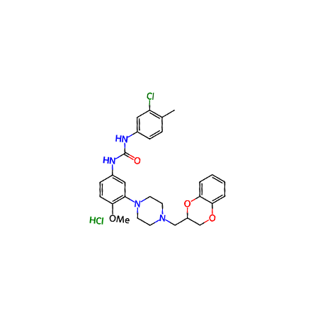 COc1ccc(NC(=O)Nc2ccc(C)c(Cl)c2)cc1N1CCN(CC2COc3ccccc3O2)CC1.Cl